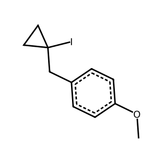 COc1ccc(CC2(I)CC2)cc1